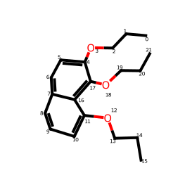 CCCOc1ccc2[c]ccc(OCCC)c2c1OCCC